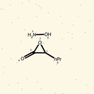 CCCC1OC1=O.NO